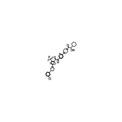 O=C(Nc1ccc(N2CCN(C(=O)C(O)C3CCCCC3)CC2)nc1)c1oc(N2CCC(c3cccc(Cl)c3)C2)nc1C(F)(F)F